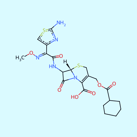 CON=C(C(=O)NC1C(=O)N2C(C(=O)O)=C(COC(=O)C3CCCCC3)CS[C@@H]12)c1csc(N)n1